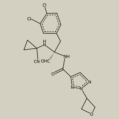 N#CC1(N[C@@](C=O)(Cc2ccc(Cl)c(Cl)c2)NC(=O)c2cnn(C3COC3)n2)CC1